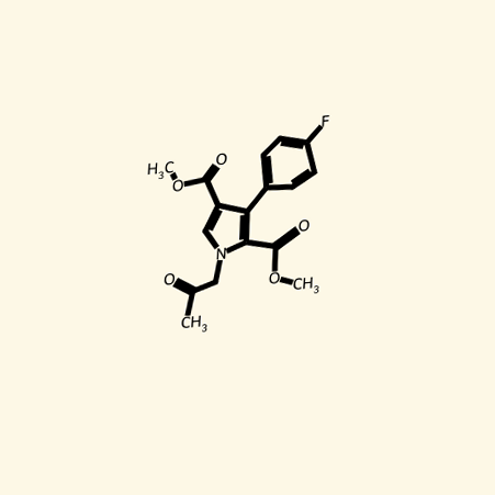 COC(=O)c1cn(CC(C)=O)c(C(=O)OC)c1-c1ccc(F)cc1